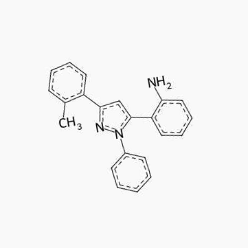 Cc1ccccc1-c1cc(-c2ccccc2N)n(-c2ccccc2)n1